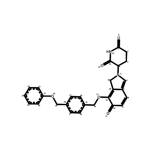 O=C1CCC(N2C=C3C=CC(=O)C(OCc4ccc(COc5ccccc5)cc4)=C3C2)C(=O)N1